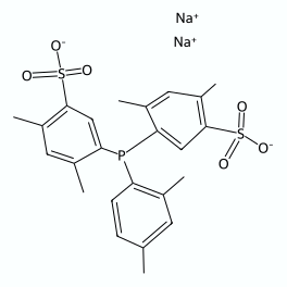 Cc1ccc(P(c2cc(S(=O)(=O)[O-])c(C)cc2C)c2cc(S(=O)(=O)[O-])c(C)cc2C)c(C)c1.[Na+].[Na+]